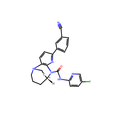 N#Cc1cccc(-c2ccc3c(n2)N(C(=O)Nc2ccc(F)cn2)[C@@H]2CCCN3CC2)c1